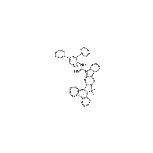 CC1(C)c2cc3c4ccccc4n(C(=N)NC4NC=C(c5ccccc5)C=C4c4ccccc4)c3cc2-c2c1c1ccccc1c1ccccc21